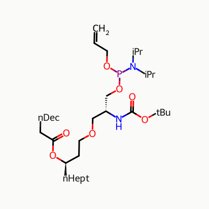 C=CCOP(OC[C@@H](COCC[C@@H](CCCCCCC)OC(=O)CCCCCCCCCCC)NC(=O)OC(C)(C)C)N(C(C)C)C(C)C